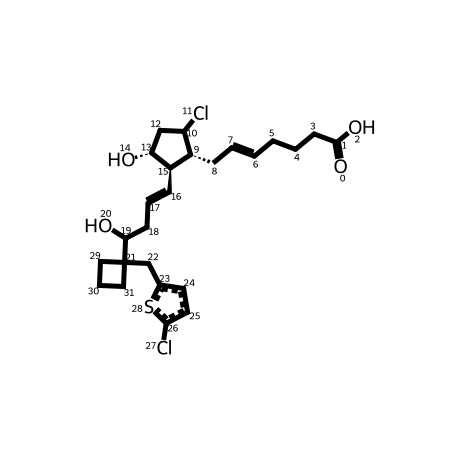 O=C(O)CCC/C=C/C[C@H]1C(Cl)C[C@@H](O)[C@@H]1/C=C/CC(O)C1(Cc2ccc(Cl)s2)CCC1